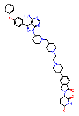 Nc1ncnc2c1c(-c1ccc(Oc3ccccc3)cc1)nn2[C@@H]1CCCN(CC2CCN(CCN3CCC(c4ccc5c(c4)CN(C4CCC(=O)NC4=O)C5=O)CC3)CC2)C1